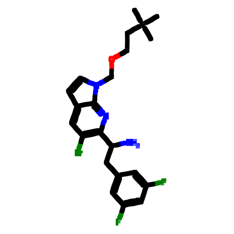 C[Si](C)(C)CCOCn1ccc2cc(Br)c(C(N)Cc3cc(F)cc(F)c3)nc21